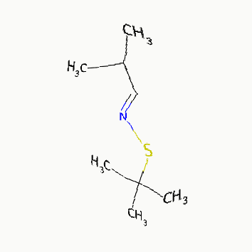 CC(C)/C=N/SC(C)(C)C